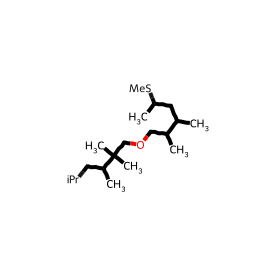 CSC(C)CC(C)C(C)COCC(C)(C)C(C)CC(C)C